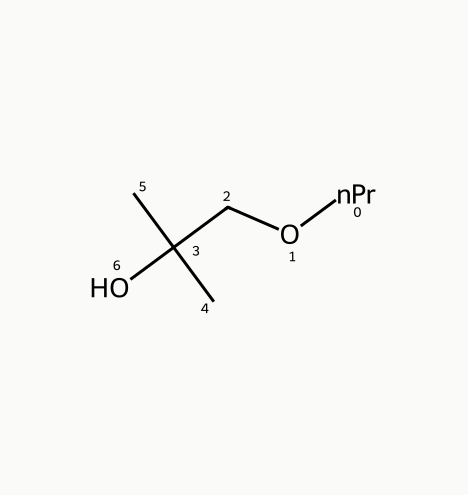 CCCOCC(C)(C)O